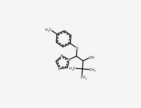 Cc1ccc(OC(C(O)C(C)(C)C)n2cncn2)cc1